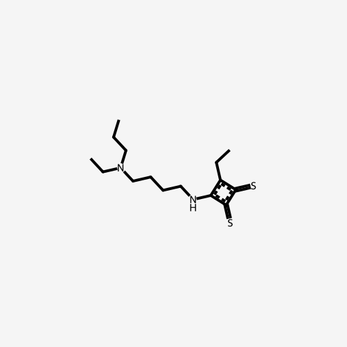 CCCN(CC)CCCCNc1c(CC)c(=S)c1=S